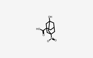 O=C(O)C12CC3CC(O)(C1)CC([N+](=O)[O-])(C3)C2